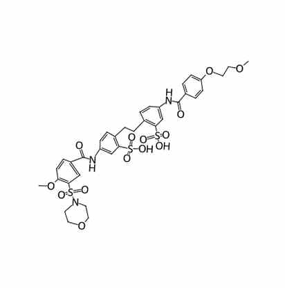 COCCOc1ccc(C(=O)Nc2ccc(CCc3ccc(NC(=O)c4ccc(OC)c(S(=O)(=O)N5CCOCC5)c4)cc3S(=O)(=O)O)c(S(=O)(=O)O)c2)cc1